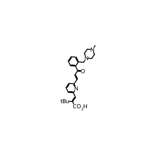 CN1CCN(Cc2ccccc2C(=O)C=Cc2cccc(C=C(C(=O)O)C(C)(C)C)n2)CC1